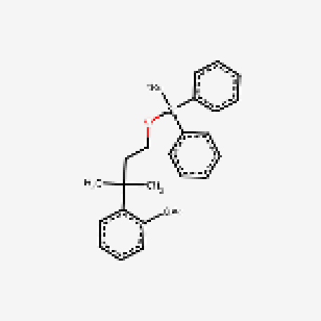 CC(=O)Oc1ccccc1C(C)(C)CCO[Si](c1ccccc1)(c1ccccc1)C(C)(C)C